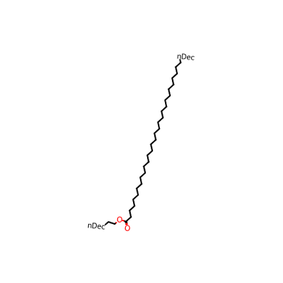 CCCCCCCCCCCCCCCCCCCCCCCCCCCCCCCCCCCCCCCC(=O)OCCCCCCCCCCCC